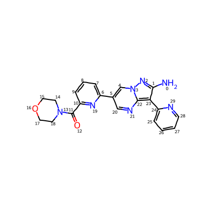 Nc1nn2cc(-c3cccc(C(=O)N4CCOCC4)n3)cnc2c1-c1ccccn1